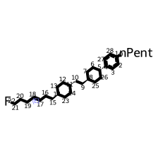 CCCCCc1ccc([C@H]2CC[C@H](CC[C@H]3CC[C@H](CC/C=C/CCCF)CC3)CC2)cc1